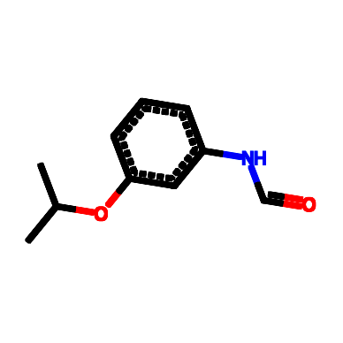 CC(C)Oc1cccc(NC=O)c1